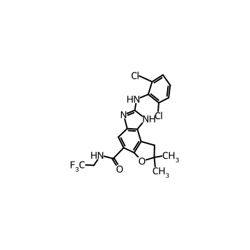 CC1(C)Cc2c(c(C(=O)NCC(F)(F)F)cc3nc(Nc4c(Cl)cccc4Cl)[nH]c23)O1